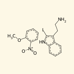 COc1ccccc1[N+](=O)[O-].NCCc1c(I)[nH]c2ccccc12